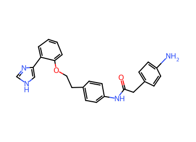 Nc1ccc(CC(=O)Nc2ccc(CCOc3ccccc3-c3c[nH]cn3)cc2)cc1